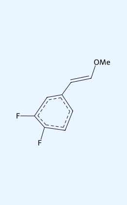 CO/C=C/c1ccc(F)c(F)c1